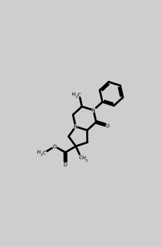 COC(=O)C1(C)CC2C(=O)N(c3ccccc3)C(C)CN2C1